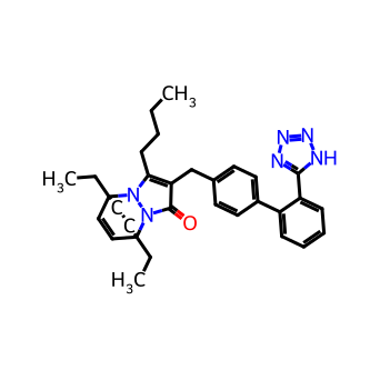 CCCCc1c(Cc2ccc(-c3ccccc3-c3nnn[nH]3)cc2)c(=O)n2n1C1(CC)C=CC2(CC)CC1